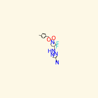 Cc1ccc(COC(=O)N2CCC(CNc3ncc(C#N)cn3)C(F)(F)C2)cc1